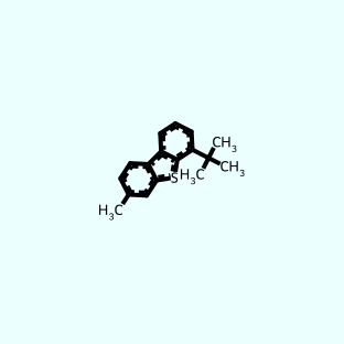 Cc1ccc2c(c1)sc1c(C(C)(C)C)cccc12